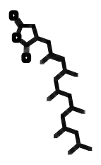 C/C(=C\C(C)CC(C)CC(C)CC(C)CC(C)C)CC1CC(=O)OC1=O